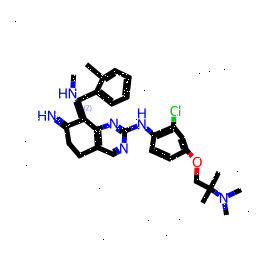 CN/C(=C1\C(=N)CCc2cnc(Nc3ccc(OCC(C)(C)N(C)C)cc3Cl)nc21)c1ccccc1C